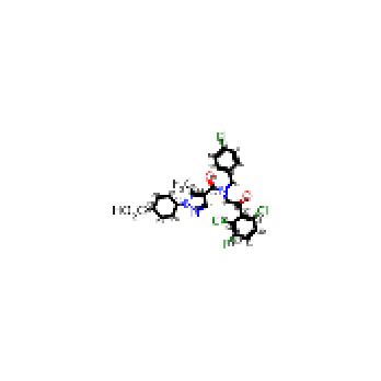 O=C(CN(Cc1ccc(Cl)cc1)C(=O)c1cnn(C2CCC(C(=O)O)CC2)c1C(F)(F)F)c1c(Cl)ccc(F)c1Cl